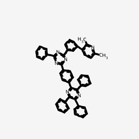 Cc1ccc(-c2cccc(-c3nc(-c4ccccc4)nc(-c4ccc(-c5nc(-c6ccccc6)c(-c6ccccc6)nc5-c5ccccc5)cc4)n3)c2)c(C)n1